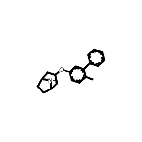 Cc1ccc(OC2CC3CCC(C2)N3)cc1-c1ccccc1